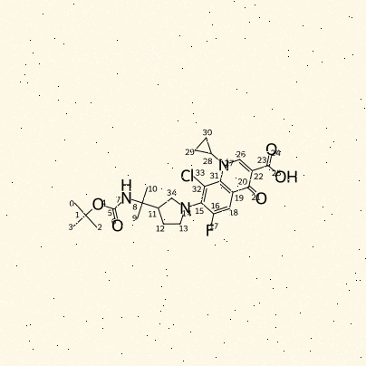 CC(C)(C)OC(=O)NC(C)(C)C1CCN(c2c(F)cc3c(=O)c(C(=O)O)cn(C4CC4)c3c2Cl)C1